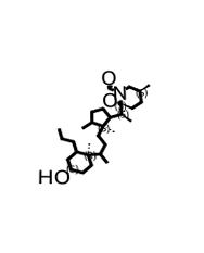 CCCC1C[C@@H](O)CC[C@]1(C)C(C)CC[C@@]1(C)C(C)CC2O[C@@]3(CC[C@H](C)CN3C=O)[C@@H](C)C21